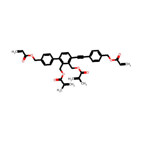 C=CC(=O)OCc1ccc(C#Cc2ccc(-c3ccc(COC(=O)C=C)cc3)c(COC(=O)C(=C)C)c2COC(=O)C(=C)C)cc1